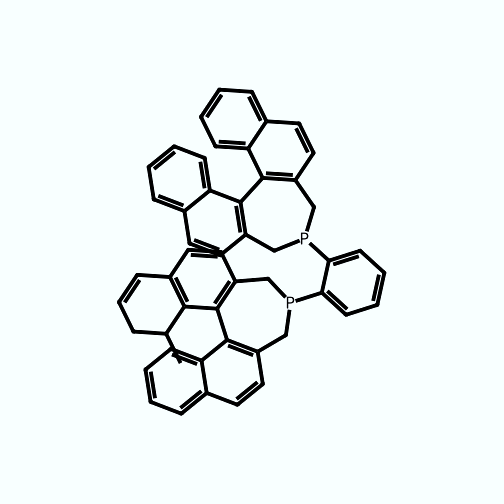 CC1CC=Cc2ccc3c(c21)-c1c(ccc2ccccc12)CP(c1ccccc1P1Cc2ccc4ccccc4c2-c2c(ccc4ccccc24)C1)C3